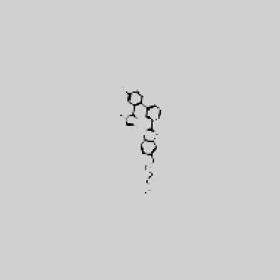 COCCNCc1ccc2oc(-c3cccc(-c4ccc(F)cc4-c4nncn4C)c3)nc2c1